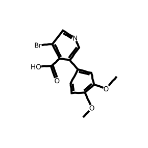 COc1ccc(-c2cncc(Br)c2C(=O)O)cc1OC